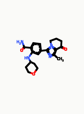 Cc1nc(-c2ccc(C(N)=O)c(NC3CCOCC3)c2)n2c1C(=O)CCC2